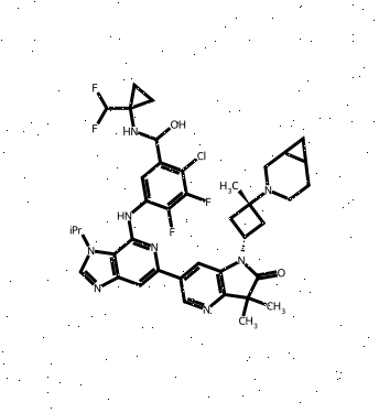 CC(C)n1cnc2cc(-c3cnc4c(c3)N([C@H]3C[C@@](C)(N5CCC6CC6C5)C3)C(=O)C4(C)C)nc(Nc3cc(C(O)NC4(C(F)F)CC4)c(Cl)c(F)c3F)c21